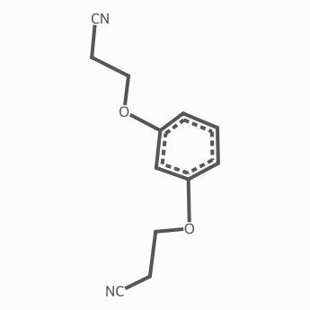 N#CCCOc1cccc(OCCC#N)c1